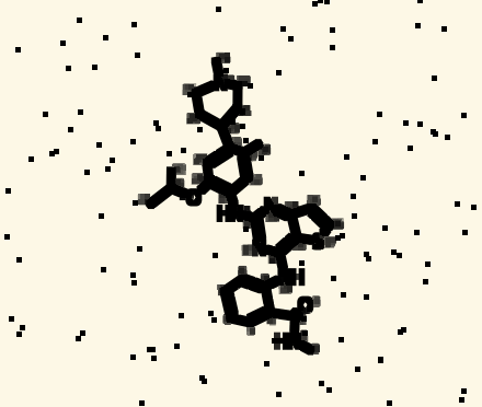 CNC(=O)c1ccccc1Nc1nc(Nc2cc(C)c(C3CCN(C)CC3)cc2OC(C)C)nc2ccsc12